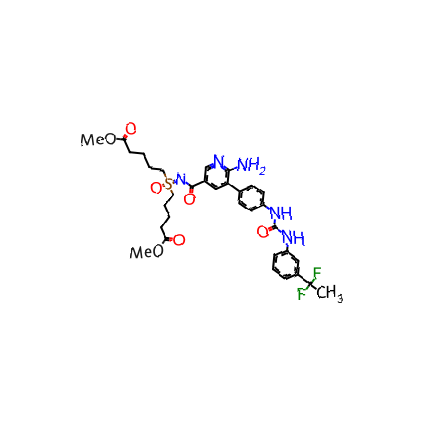 COC(=O)CCCCS(=O)(CCCCC(=O)OC)=NC(=O)c1cnc(N)c(-c2ccc(NC(=O)Nc3cccc(C(C)(F)F)c3)cc2)c1